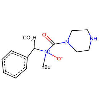 CCCC[N+]([O-])(C(=O)N1CCNCC1)C(C(=O)O)c1ccccc1